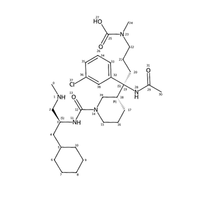 CNC[C@H](CC1CCCCC1)NC(=O)N1CCC[C@@H]([C@](CCCN(C)C(=O)O)(NC(C)=O)c2cccc(Cl)c2)C1